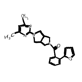 Cc1cc(C)nc(N2CC3CN(C(=O)c4ccccc4-c4ccco4)CC3C2)n1